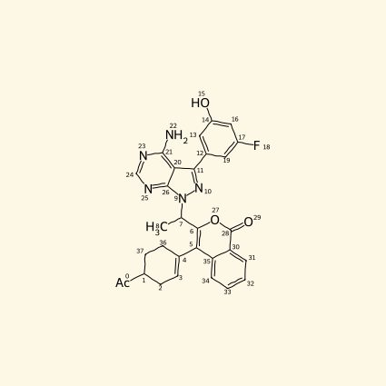 CC(=O)C1CC=C(c2c(C(C)n3nc(-c4cc(O)cc(F)c4)c4c(N)ncnc43)oc(=O)c3ccccc23)CC1